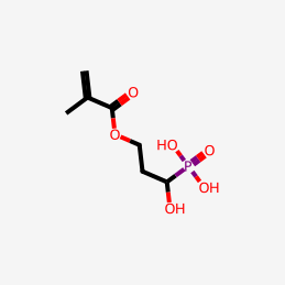 C=C(C)C(=O)OCCC(O)P(=O)(O)O